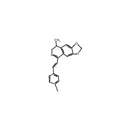 CC1CN=C(/C=C/c2ccc(F)cc2)c2cc3c(cc21)OCO3